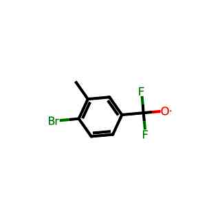 Cc1cc(C([O])(F)F)ccc1Br